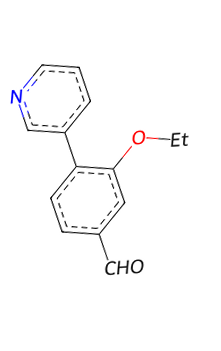 CCOc1cc(C=O)ccc1-c1cccnc1